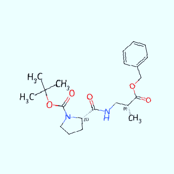 C[C@H](CNC(=O)[C@@H]1CCCN1C(=O)OC(C)(C)C)C(=O)OCc1ccccc1